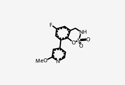 COc1cc(-c2cc(F)cc3c2OS(=O)(=O)NC3)ccn1